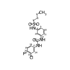 CCCCS(=O)(=O)Nc1cccc(NC(=O)Nc2ccc(F)c(Cl)c2)c1